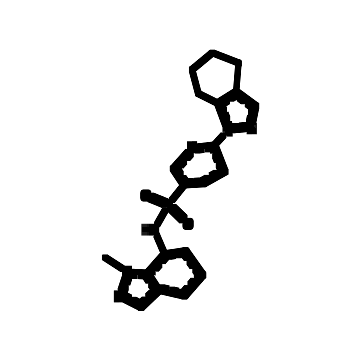 Cn1ncc2cccc(NS(=O)(=O)c3ccc(-n4ncc5c4CCCC5)nc3)c21